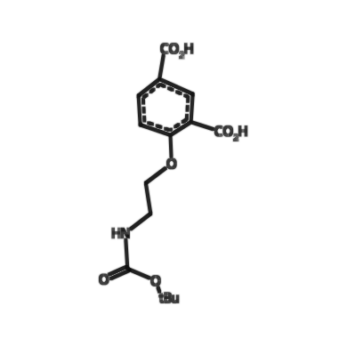 CC(C)(C)OC(=O)NCCOc1ccc(C(=O)O)cc1C(=O)O